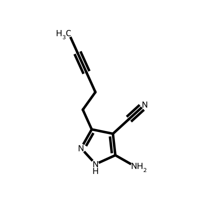 CC#CCCc1n[nH]c(N)c1C#N